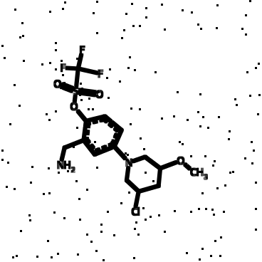 COC1CC(Cl)CN(c2ccc(OS(=O)(=O)C(F)(F)F)c(CN)c2)C1